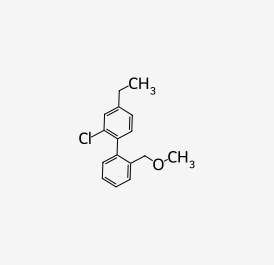 CCc1ccc(-c2ccccc2COC)c(Cl)c1